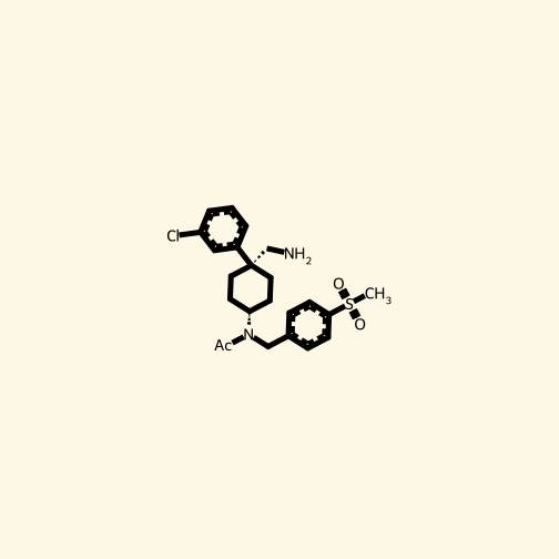 CC(=O)N(Cc1ccc(S(C)(=O)=O)cc1)[C@H]1CC[C@](CN)(c2cccc(Cl)c2)CC1